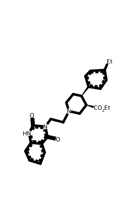 CCOC(=O)[C@H]1CN(CCn2c(=O)[nH]c3ccccc3c2=O)CC[C@H]1c1ccc(CC)cc1